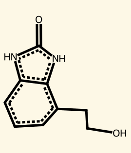 O=c1[nH]c2cccc(CCO)c2[nH]1